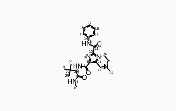 CNC(=O)[C@@H](NC(=O)c1nc(C(=O)Nc2ccccc2)n2c1CN(C)CC2)C(C)(C)C